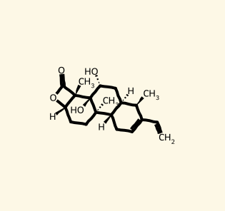 C=CC1=CC[C@H]2[C@@H](C[C@@H](O)[C@@]3(O)[C@@]4(C)C(=O)O[C@H]4CC[C@]23C)[C@H]1C